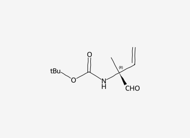 C=C[C@](C)(C=O)NC(=O)OC(C)(C)C